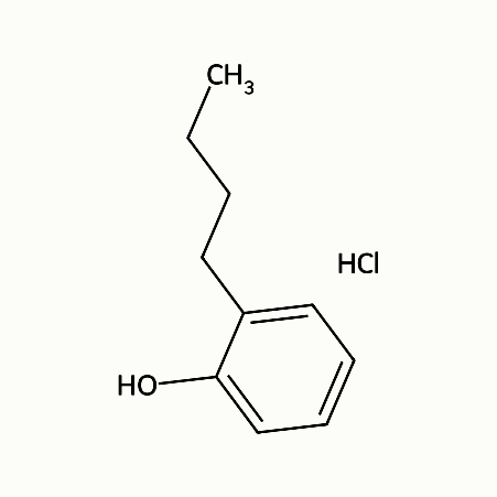 CCCCc1ccccc1O.Cl